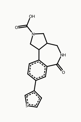 O=C1NCC2CN(C(=O)O)CC2c2ccc(-c3ccsc3)cc21